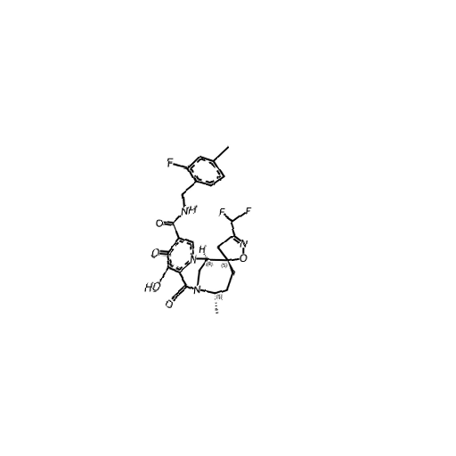 Cc1ccc(CNC(=O)c2cn3c(c(O)c2=O)C(=O)N2C[C@@H]3[C@]3(CC[C@@H]2C)CC(C(F)F)=NO3)c(F)c1